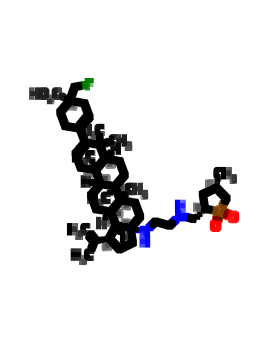 C=C(C)[C@@H]1CC[C@]2(NCCNC[C@@H]3C[C@H](C)CS3(=O)=O)CC[C@]3(C)[C@H](CC[C@@H]4[C@@]5(C)CC=C(C6=CC[C@](CF)(C(=O)O)CC6)C(C)(C)[C@@H]5CC[C@]43C)[C@@H]12